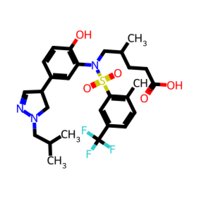 Cc1ccc(C(F)(F)F)cc1S(=O)(=O)N(CC(C)CCC(=O)O)c1cc(C2C=NN(CC(C)C)C2)ccc1O